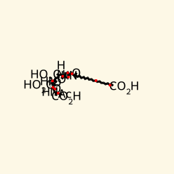 CC(=O)CCC(NC(=O)CC[C@H](NC(=O)CCC(NC(=O)[C@H]1CC[C@H](CNC(=O)CCCCCCCCCCCCCCCCCCC(=O)O)CC1)C(=O)O)C(=O)O)C(=O)O